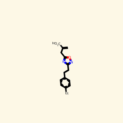 C=C(Cc1nc(CCc2ccc(CC)cc2)no1)C(=O)O